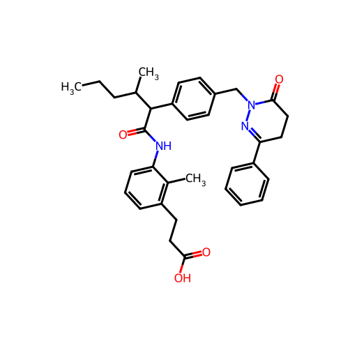 CCCC(C)C(C(=O)Nc1cccc(CCC(=O)O)c1C)c1ccc(CN2N=C(c3ccccc3)CCC2=O)cc1